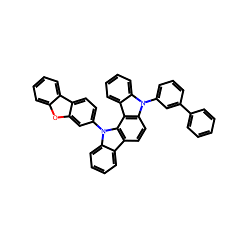 c1ccc(-c2cccc(-n3c4ccccc4c4c3ccc3c5ccccc5n(-c5ccc6c(c5)oc5ccccc56)c34)c2)cc1